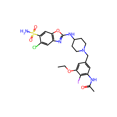 CCOc1cc(CN2CCC(Nc3nc4cc(Cl)c(S(N)(=O)=O)cc4o3)CC2)cc(NC(C)=O)c1I